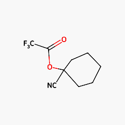 N#CC1(OC(=O)C(F)(F)F)CCCCC1